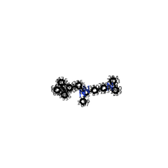 c1ccc(-c2cc(-c3ccc(-c4ccc(-n5c6ccccc6c6ccccc65)cc4)cc3)nc(-c3cccc(-c4ccc5c(c4)-c4ccccc4[Si]5(c4ccccc4)c4ccccc4)c3)n2)cc1